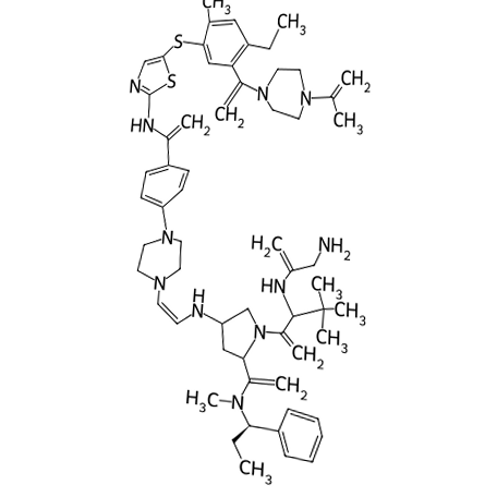 C=C(CN)NC(C(=C)N1CC(N/C=C\N2CCN(c3ccc(C(=C)Nc4ncc(Sc5cc(C(=C)N6CCN(C(=C)C)CC6)c(CC)cc5C)s4)cc3)CC2)CC1C(=C)N(C)[C@H](CC)c1ccccc1)C(C)(C)C